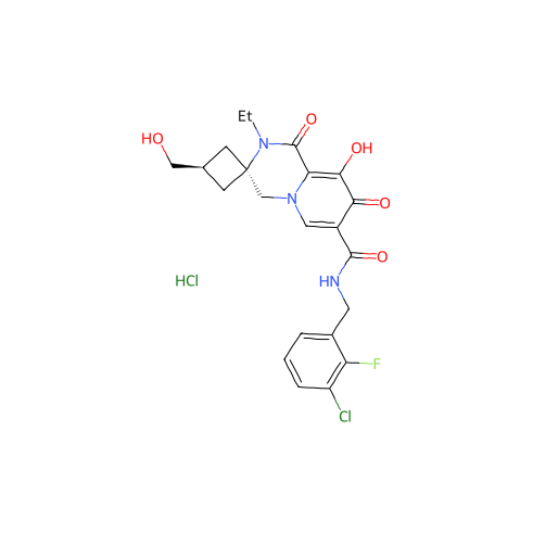 CCN1C(=O)c2c(O)c(=O)c(C(=O)NCc3cccc(Cl)c3F)cn2C[C@]12C[C@H](CO)C2.Cl